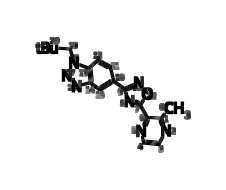 Cc1nccnc1-c1nc(-c2ccc3c(c2)nnn3CC(C)(C)C)no1